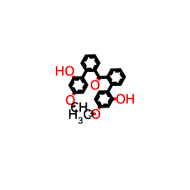 COc1ccc(-c2ccccc2C(=O)c2ccccc2-c2ccc(OC)cc2O)c(O)c1